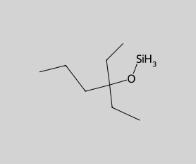 CCCC(CC)(CC)O[SiH3]